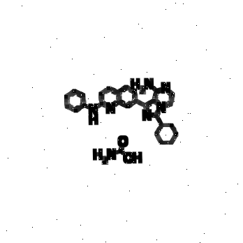 NC(=O)O.Nc1nccn2c(C3CCCCC3)nc(-c3ccc4ccc(Nc5ccccc5)nc4c3)c12